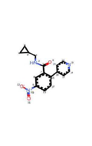 O=C(NCC1CC1)c1cc([N+](=O)[O-])ccc1-c1ccncc1